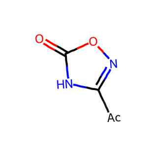 CC(=O)c1noc(=O)[nH]1